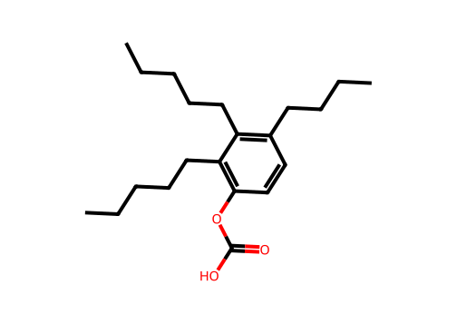 CCCCCc1c(CCCC)ccc(OC(=O)O)c1CCCCC